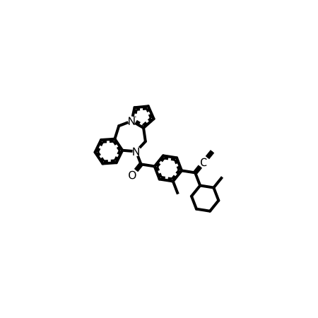 C=C=C(c1ccc(C(=O)N2Cc3cccn3Cc3ccccc32)cc1C)C1CCCCC1C